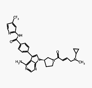 CN(C/C=C/C(=O)N1CC[C@@H](n2cc(-c3ccc(C(=O)Nc4cc(C(F)(F)F)ccn4)cc3)c3c(N)ncnc32)C1)C1CC1